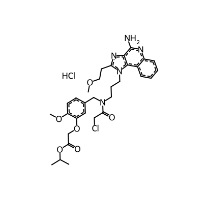 COCCc1nc2c(N)nc3ccccc3c2n1CCCN(Cc1ccc(OC)c(OCC(=O)OC(C)C)c1)C(=O)CCl.Cl